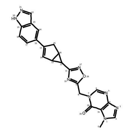 Cn1cnc2ncn(Cc3nc(C4C5C=C(c6ccc7[nH]ncc7c6)CC54)no3)c(=O)c21